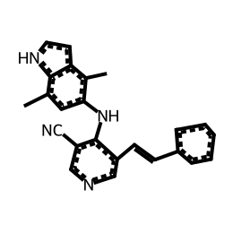 Cc1c(Nc2c(C#N)cncc2C=Cc2ccccc2)cc(C)c2[nH]ccc12